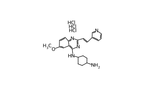 COc1ccc2nc(/C=C/c3cccnc3)nc(NC3CCC(N)CC3)c2c1.Cl.Cl.Cl